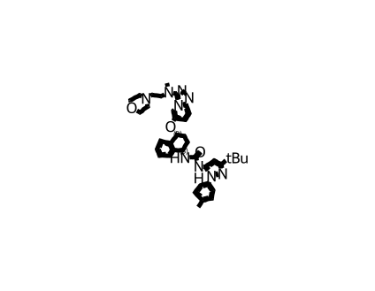 Cc1ccc(-n2nc(C(C)(C)C)cc2NC(=O)N[C@H]2CC[C@@H](Oc3ccc4nnc(N(C)CCN5CCOCC5)n4c3)c3ccccc32)cc1